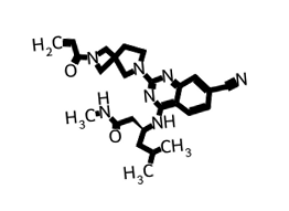 C=CC(=O)N1CC2(CCN(c3nc(N[C@H](CC(=O)NC)CC(C)C)c4ccc(C#N)cc4n3)C2)C1